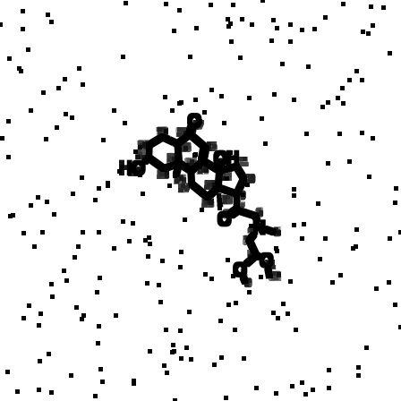 COC(CN(C)CC(=O)C1CC[C@@]2(O)C3=CC(=O)C4CCC(O)CC4(C)C3CC[C@]12C)OC